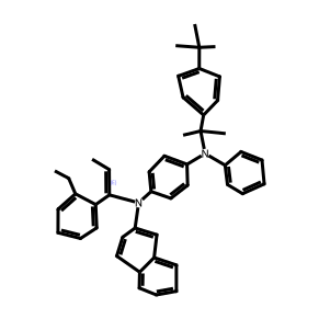 C/C=C(\c1ccccc1CC)N(c1ccc(N(c2ccccc2)C(C)(C)c2ccc(C(C)(C)C)cc2)cc1)c1ccc2ccccc2c1